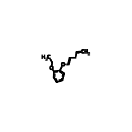 C=CCC=COc1ccccc1OCC